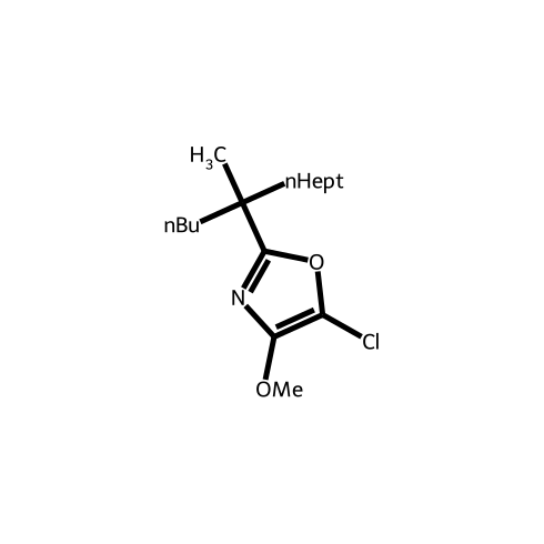 CCCCCCCC(C)(CCCC)c1nc(OC)c(Cl)o1